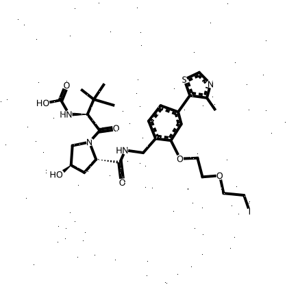 Cc1ncsc1-c1ccc(CNC(=O)[C@@H]2C[C@@H](O)CN2C(=O)[C@@H](NC(=O)O)C(C)(C)C)c(OCCOCCI)c1